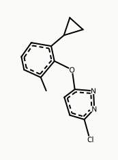 Cc1cccc(C2CC2)c1Oc1ccc(Cl)nn1